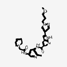 COCCCn1cc(-c2cc3cc(C(=O)Nc4cc(NC(=O)CN5CCCCC5)cnc4C)cnc3[nH]2)cn1